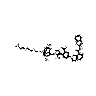 CNCCOCCOCCO[C@@]12CC3(Cn4ncc(-c5ccc(N6CCc7cccc(C(=O)Nc8nc9ccccc9s8)c7C6)nc5C(=O)O)c4C)C[C@@](C)(C[C@@](C)(C3)C1)C2